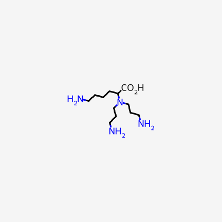 NCCCCC(C(=O)O)N(CCCN)CCCN